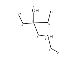 CCNCC(O)(CC)CC